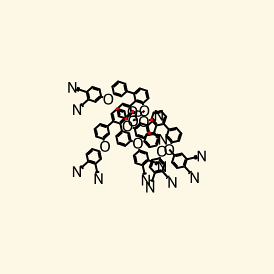 N#Cc1ccc(Oc2cccc(-c3cccc(OP(=O)(Oc4cccc(-c5cccc(Oc6ccc(C#N)c(C#N)c6)c5)c4-c4cccc(Oc5ccc(C#N)c(C#N)c5)c4)Oc4cccc(-c5cccc(Oc6ccc(C#N)c(C#N)c6)c5)c4-c4cccc(Oc5ccc(C#N)c(C#N)c5)c4)c3-c3cccc(Oc4ccc(C#N)c(C#N)c4)c3)c2)cc1C#N